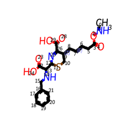 CNOC(=O)C/C=C/C=C1\CSC(C(NCc2ccccc2)C(=O)O)N=C1C(=O)O